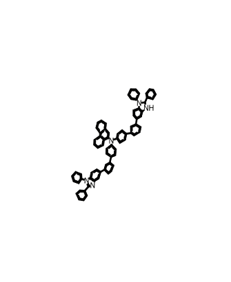 c1ccc(-c2nc3cc(-c4cccc(-c5ccc(N(c6ccc(-c7cccc(-c8ccc9c(c8)NC(c8ccccc8)N9c8ccccc8)c7)cc6)c6cc7ccccc7c7ccccc67)cc5)c4)ccc3n2-c2ccccc2)cc1